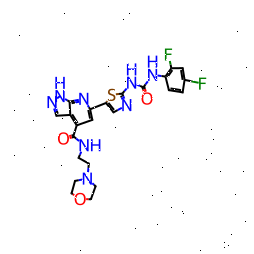 O=C(Nc1ncc(-c2cc(C(=O)NCCN3CCOCC3)c3cn[nH]c3n2)s1)Nc1ccc(F)cc1F